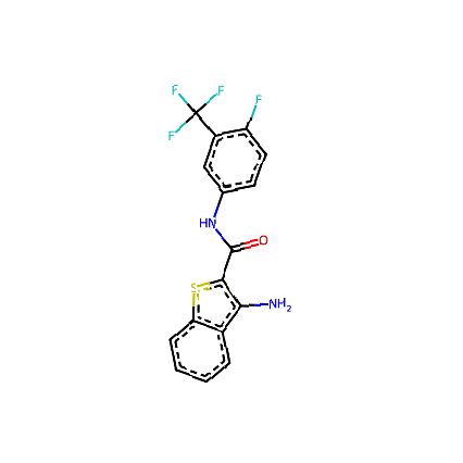 Nc1c(C(=O)Nc2ccc(F)c(C(F)(F)F)c2)sc2ccccc12